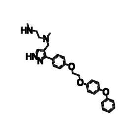 CNCCN(C)Cc1c[nH]nc1-c1ccc(OCCOc2ccc(Oc3ccccc3)cc2)cc1